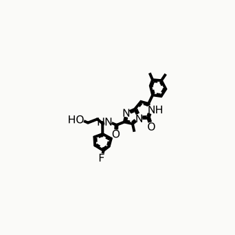 Cc1ccc(-c2cc3nc(C(=O)NC(CCO)c4ccc(F)cc4)c(C)n3c(=O)[nH]2)cc1C